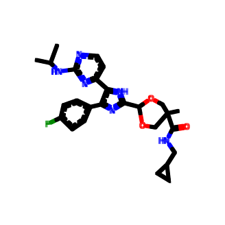 CC(C)Nc1nccc(-c2[nH]c(C3OCC(C)(C(=O)NCC4CC4)CO3)nc2-c2ccc(F)cc2)n1